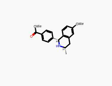 COC(=O)c1ccc([C@H]2N[C@@H](C)Cc3cc(OC)ccc32)cc1